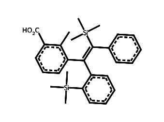 Cc1c(C(=O)O)cccc1C(=C(c1ccccc1)[Si](C)(C)C)c1ccccc1[Si](C)(C)C